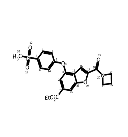 CCOC(=O)c1cc(Oc2ccc(S(C)(=O)=O)cc2)c2cc(C(=O)N3CCC3)oc2c1